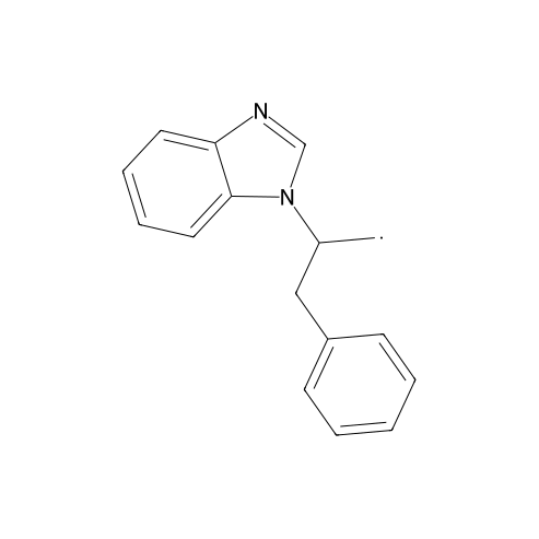 [CH2]C(Cc1ccccc1)n1cnc2ccccc21